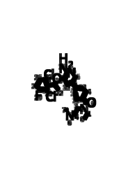 CCN(CCN(C)C)C(=O)c1ccc(-c2cnc(N)c(OC(C)c3c(Cl)ccc(F)c3Cl)c2)cc1